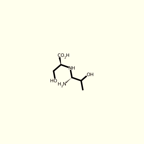 CC(O)[C@H](N)N[C@@H](CO)C(=O)O